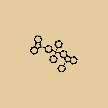 c1ccc(-n2c3ccccc3c3ccc(S(c4ccccc4)(c4ccccc4)c4ccc(-n5c6ccccc6c6ccccc65)cc4)cc32)cc1